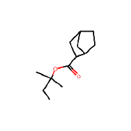 CCC(C)(C)OC(=O)C1CC2CCC1C2